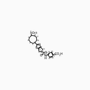 CCCCCCCCC1CCCCC(c2nc3c(s2)CN(S(=O)(=O)Nc2ccc(C(=O)O)cc2)C3)CCC1